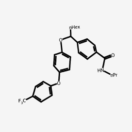 CCCCCCC(Oc1ccc(Oc2ccc(C(F)(F)F)cc2)cc1)c1ccc(C(=O)NCCC)cc1